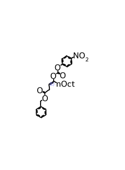 CCCCCCCC/C(=C\CC(=O)OCc1ccccc1)OC(=O)Oc1ccc([N+](=O)[O-])cc1